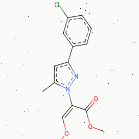 COC=C(C(=O)OC)n1nc(-c2cccc(Cl)c2)cc1C